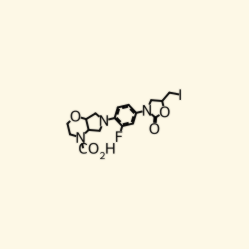 O=C1OC(CI)CN1c1ccc(N2CC3OCCN(C(=O)O)C3C2)c(F)c1